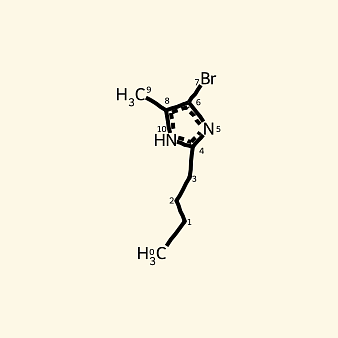 CCCCc1nc(Br)c(C)[nH]1